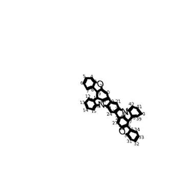 C1=C2Oc3ccccc3C2C2c3ccccc3-n3c2c1c1cc2c(cc13)c1cc3oc4ccccc4c3c3c4ccccc4n2c13